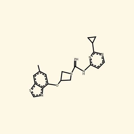 Cc1cc(OC2CN(C(=P)Nc3ccnc(C4CC4)n3)C2)c2ncsc2c1